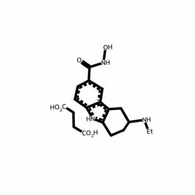 CCNC1CCc2[nH]c3ccc(C(=O)NO)cc3c2C1.O=C(O)CCC(=O)O